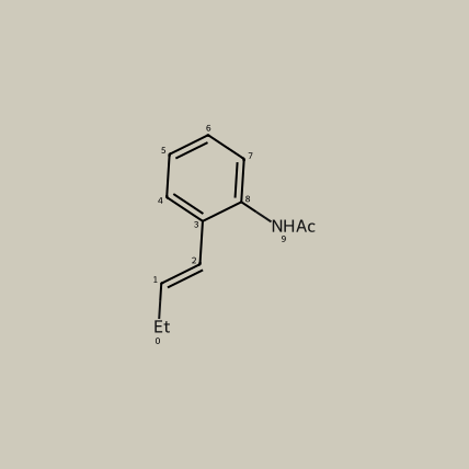 CC/C=C/c1ccccc1NC(C)=O